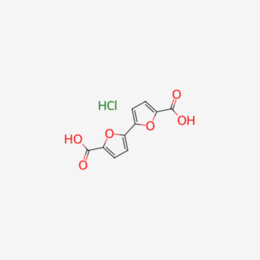 Cl.O=C(O)c1ccc(-c2ccc(C(=O)O)o2)o1